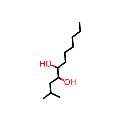 CCCCCCC(O)C(O)CC(C)C